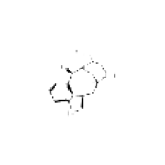 N=C1c2cccc3[nH]cc(c23)C[C@H]2CC1C(C(=O)O)CN2